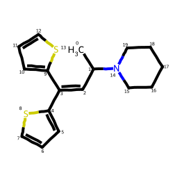 CC(C=C(c1cccs1)c1cccs1)N1CCCCC1